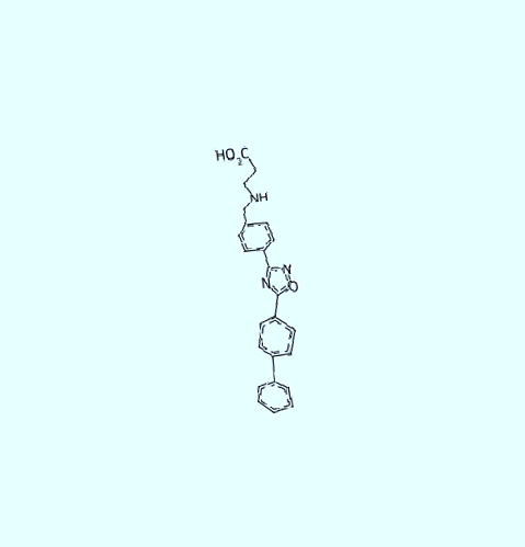 O=C(O)CCNCc1ccc(-c2noc(-c3ccc(-c4ccccc4)cc3)n2)cc1